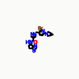 Cn1cnc2c1CC[C@H]2NC(=O)c1cnn(Cc2ccc(N3CC4CC4C3)nc2Br)c1